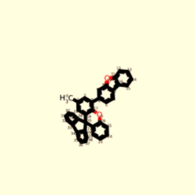 Cc1cc(-c2ccc3c(c2)oc2ccccc23)c2c(c1)C1(c3ccccc3O2)c2ccccc2-c2ccccc21